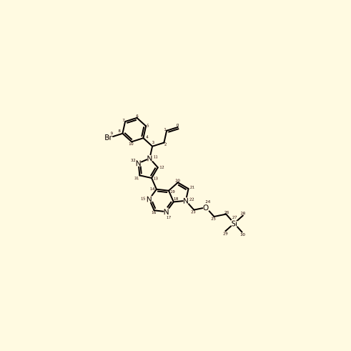 C=CCC(c1cccc(Br)c1)n1cc(-c2ncnc3c2ccn3COCC[Si](C)(C)C)cn1